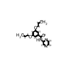 C=CCOc1cc(OCC=C)cc(C(=O)Nc2cnccn2)c1